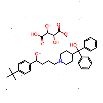 CC(C)(C)c1ccc(C(O)CCCN2CCC(C(O)(c3ccccc3)c3ccccc3)CC2)cc1.O=C(O)C(O)C(O)C(=O)O